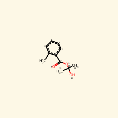 Cc1ccccc1C(=O)OC(C)(C)O